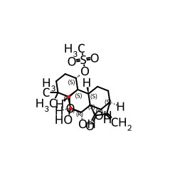 C=C1C(=O)[C@]23[C@H](O)[C@H]1CC[C@H]2[C@@]12CO[C@@]3(O)[C@@H](O)[C@@H]1C(C)(C)CC[C@@H]2OS(C)(=O)=O